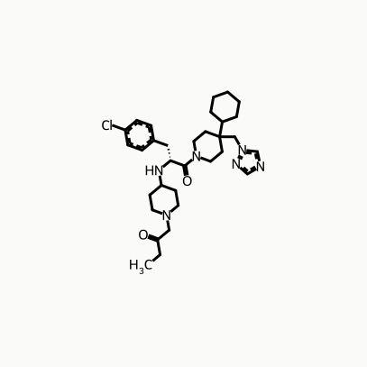 CCC(=O)CN1CCC(N[C@H](Cc2ccc(Cl)cc2)C(=O)N2CCC(Cn3cncn3)(C3CCCCC3)CC2)CC1